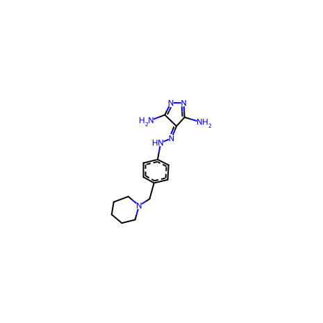 NC1=NN=C(N)C1=NNc1ccc(CN2CCCCC2)cc1